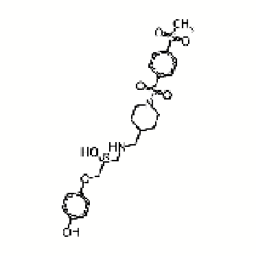 CS(=O)(=O)c1ccc(S(=O)(=O)N2CCC(CNC[C@H](O)COc3ccc(O)cc3)CC2)cc1